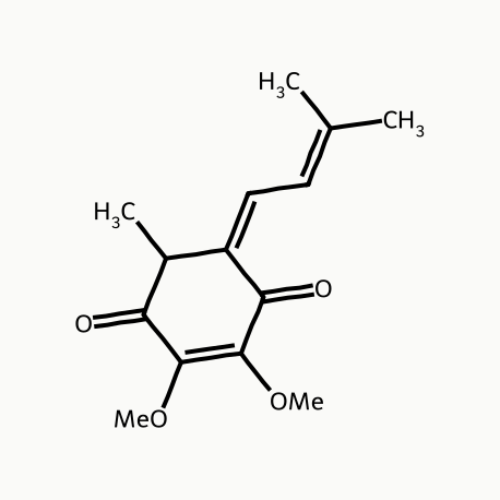 COC1=C(OC)C(=O)C(C)C(=CC=C(C)C)C1=O